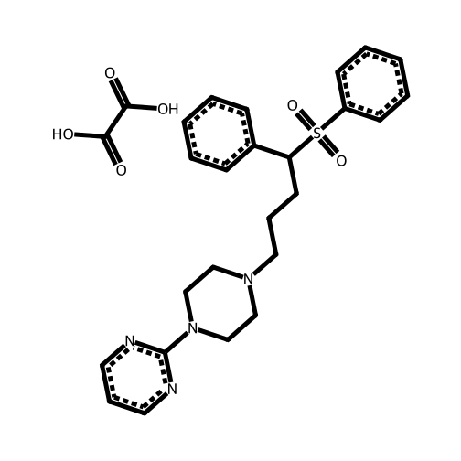 O=C(O)C(=O)O.O=S(=O)(c1ccccc1)C(CCCN1CCN(c2ncccn2)CC1)c1ccccc1